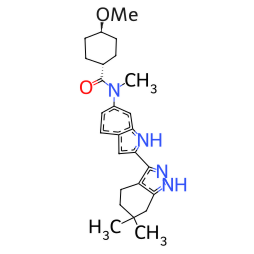 CO[C@H]1CC[C@H](C(=O)N(C)c2ccc3cc(-c4n[nH]c5c4CCC(C)(C)C5)[nH]c3c2)CC1